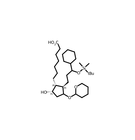 CC(C)(C)[Si](C)(C)OC(CC[C@H]1C(OC2CCCCO2)C[C@H](O)[C@@H]1CCCCCCC(=O)O)C1CCCCC1